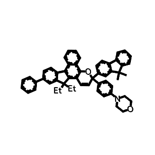 CCC1(CC)c2cc(-c3ccccc3)ccc2-c2c1c1c(c3ccccc23)OC(c2ccc(N3CCOCC3)cc2)(c2ccc3c(c2)C(C)(C)c2ccccc2-3)C=C1